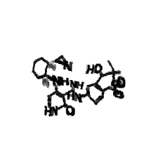 CC1(C)C(O)c2cc(NC(=N)c3c(N[C@H]4CCCC[C@@H]4C4=NC4)cc[nH]c3=O)ccc2S1(=O)=O